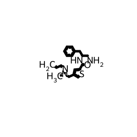 C=C/C=N\N(C)Cc1csc(C(=O)NC(CN)Cc2ccccc2)c1